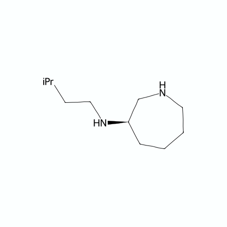 CC(C)CCN[C@@H]1CCCCNC1